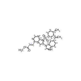 COC(=O)/C=C/c1ncnc2c1cc(-c1c[nH]c3ccc(OC)cc13)n2S(=O)(=O)c1ccc(C)cc1